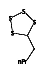 CCCCC1SSSS1